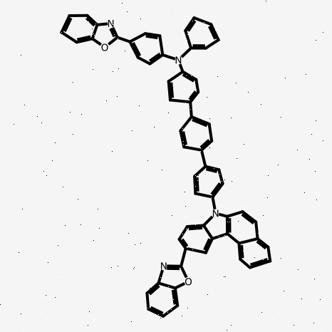 c1ccc(N(c2ccc(-c3ccc(-c4ccc(-n5c6ccc(-c7nc8ccccc8o7)cc6c6c7ccccc7ccc65)cc4)cc3)cc2)c2ccc(-c3nc4ccccc4o3)cc2)cc1